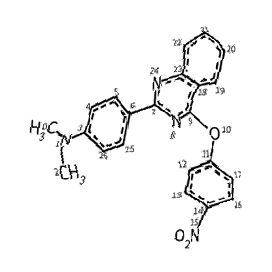 CN(C)c1ccc(-c2nc(Oc3ccc([N+](=O)[O-])cc3)c3ccccc3n2)cc1